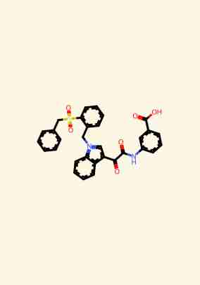 O=C(Nc1cccc(C(=O)O)c1)C(=O)c1cn(Cc2ccccc2S(=O)(=O)Cc2ccccc2)c2ccccc12